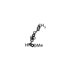 COc1ccc2[nH]cc(C3CCN(S(=O)(=O)c4ccc(OCCCN5CCN(C)CC5)cc4)CC3)c2c1